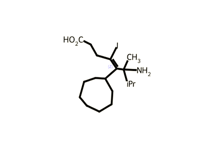 CC(C)C(C)(N)/C(=C(\I)CCC(=O)O)C1CCCCCCC1